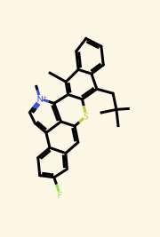 Cc1c2c(c(CC(C)(C)C)c3ccccc13)Sc1cc3cc(F)ccc3c3cc[n+](C)c-2c13